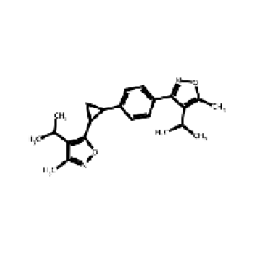 Cc1noc(C2CC2c2ccc(-c3noc(C)c3C(C)C)cc2)c1C(C)C